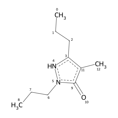 CCCc1[nH]n(CCC)c(=O)c1C